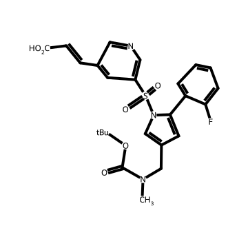 CN(Cc1cc(-c2ccccc2F)n(S(=O)(=O)c2cncc(C=CC(=O)O)c2)c1)C(=O)OC(C)(C)C